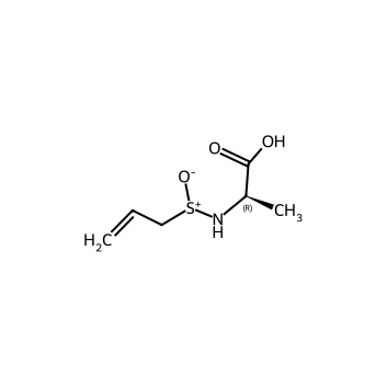 C=CC[S+]([O-])N[C@H](C)C(=O)O